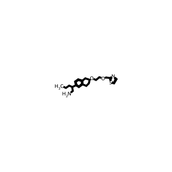 CCCC(CN)c1ccc2c(c1)CC[C@H](OCCOCc1nccs1)C2